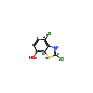 Oc1ccc(Cl)c2nc(Cl)sc12